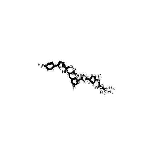 Cc1ccc(-c2ccc(C(=O)NC(Cc3cc(F)cc(-c4noc(-c5ccc(NC(=O)OC(C)(C)C)cc5)n4)c3)C(=O)O)o2)cc1